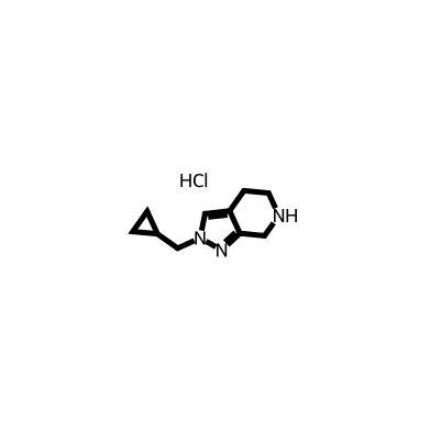 Cl.c1c2c(nn1CC1CC1)CNCC2